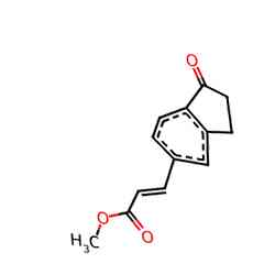 COC(=O)/C=C/c1ccc2c(c1)CCC2=O